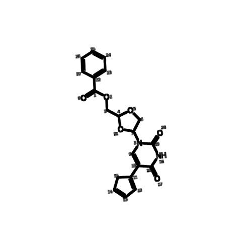 O=C(OCC1OCC(n2cc(C3=CC=CC3)c(=O)[nH]c2=O)O1)c1ccccc1